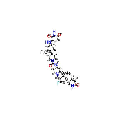 COc1cc(-c2cn(C)c(=O)c(C)c2C)cc(F)c1CN1CCC(N(C)C(=O)N2CCC(c3ccc(NC4CCC(=O)NC4=O)cc3C(F)(F)F)CC2)CC1